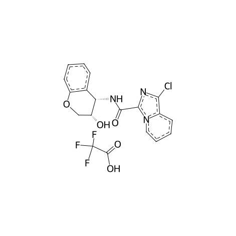 O=C(N[C@H]1c2ccccc2OC[C@H]1O)c1nc(Cl)c2ccccn12.O=C(O)C(F)(F)F